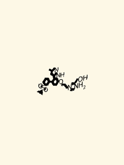 C=CN(/C=C(\N)CO)CCCOc1ccc(-c2cccc(S(=O)(=O)C3CC3)c2)c2c1[nH]c1ncc(C)cc12